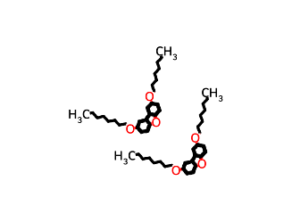 CCCCCCCCOc1ccc2oc3ccc(OCCCCCCCC)cc3c2c1.CCCCCCCCOc1ccc2oc3ccc(OCCCCCCCC)cc3c2c1